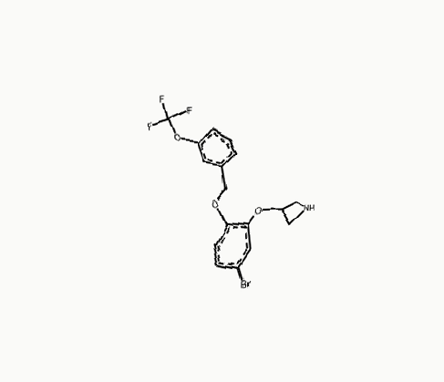 FC(F)(F)Oc1cccc(COc2ccc(Br)cc2OC2CNC2)c1